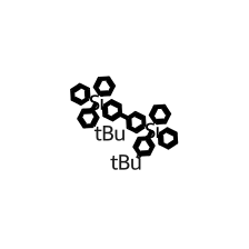 CC(C)(C)c1ccc([Si](c2ccccc2)(c2ccccc2)c2ccc(-c3ccc([Si](c4ccccc4)(c4ccccc4)c4cccc(C(C)(C)C)c4)cc3)cc2)cc1